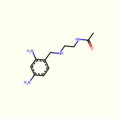 CC(=O)NCCNCc1ccc(N)cc1N